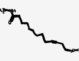 BNC(=O)CCCCCCCCC#CCCCCCCCCCCCC